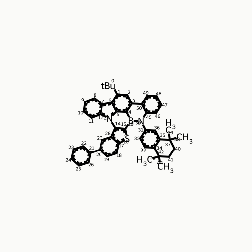 CC(C)(C)c1cc2c3c4c1c1ccccc1n4-c1c(sc4ccc(-c5ccccc5)cc14)B3N(c1ccc3c(c1)C(C)(C)CCC3(C)C)c1ccccc1-2